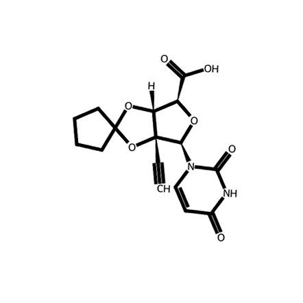 C#C[C@@]12OC3(CCCC3)O[C@@H]1[C@@H](C(=O)O)O[C@H]2n1ccc(=O)[nH]c1=O